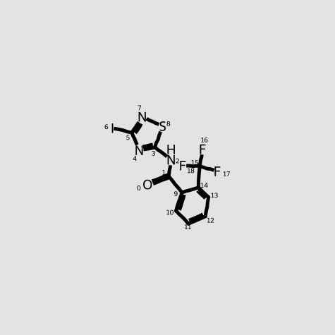 O=C(Nc1nc(I)ns1)c1ccccc1C(F)(F)F